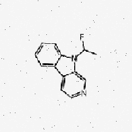 CC(F)n1c2ccccc2c2ccncc21